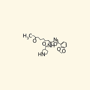 CCC(=O)CCCCC[C@H](NC(=O)C1CCNCC1)c1ncc(-c2cccc3c2OCCO3)o1